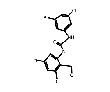 O=C(Nc1cc(Cl)cc(Br)c1)Nc1cc(Cl)cc(Cl)c1CO